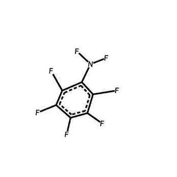 Fc1c(F)c(F)c(N(F)F)c(F)c1F